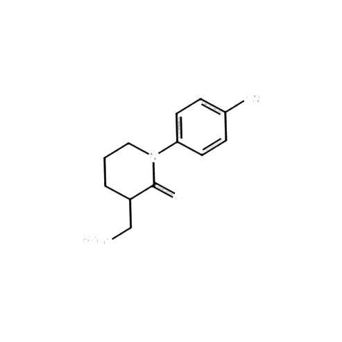 N#Cc1ccc(N2CCCC(CC(=O)O)C2=O)cc1